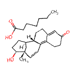 CCCCCCC(=O)O.C[C@]12C=CC3=C4CCC(=O)C=C4CC[C@H]3[C@@H]1CC[C@@H]2O